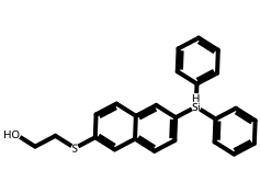 OCCSc1ccc2cc([SiH](c3ccccc3)c3ccccc3)ccc2c1